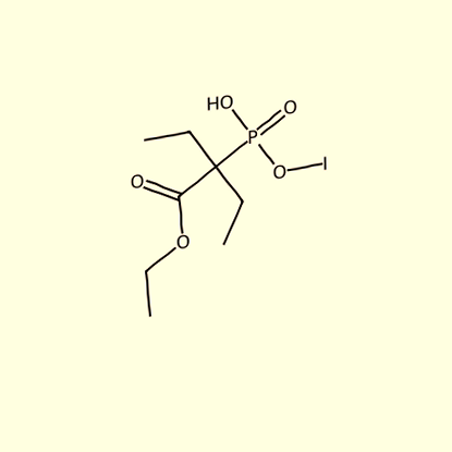 CCOC(=O)C(CC)(CC)P(=O)(O)OI